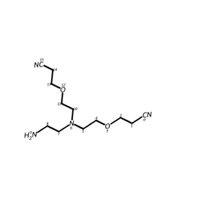 N#CCCOCCN(CCN)CCOCCC#N